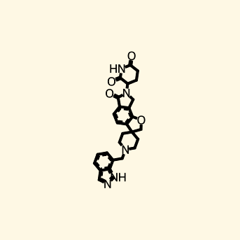 O=C1CCC(N2Cc3c(ccc4c3OCC43CCN(Cc4cccc5cn[nH]c45)CC3)C2=O)C(=O)N1